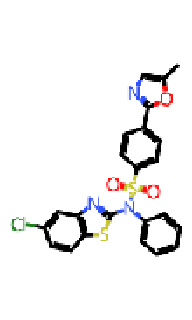 Cc1cnc(-c2ccc(S(=O)(=O)N(c3ccccc3)c3nc4cc(Cl)ccc4s3)cc2)o1